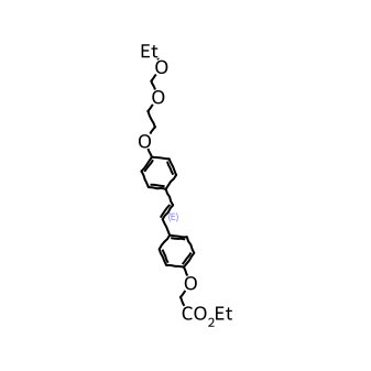 CCOCOCCOc1ccc(/C=C/c2ccc(OCC(=O)OCC)cc2)cc1